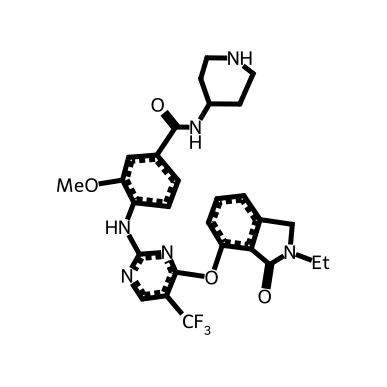 CCN1Cc2cccc(Oc3nc(Nc4ccc(C(=O)NC5CCNCC5)cc4OC)ncc3C(F)(F)F)c2C1=O